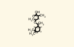 CC(CC(C)C(=O)O)OC(C)C1CCCC(C)(C)C1